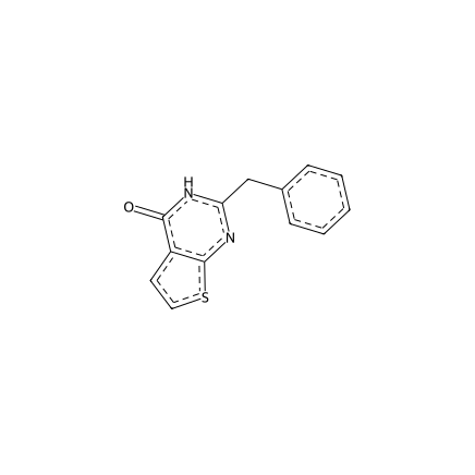 O=c1[nH]c(Cc2ccccc2)nc2sccc12